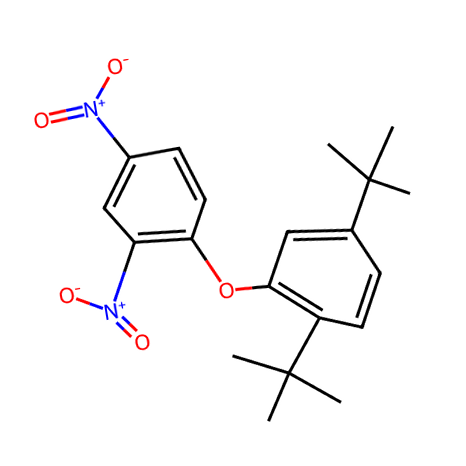 CC(C)(C)c1ccc(C(C)(C)C)c(Oc2ccc([N+](=O)[O-])cc2[N+](=O)[O-])c1